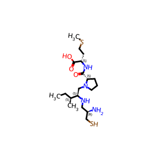 CC[C@H](C)[C@@H](CN1CCC[C@H]1C(=O)N[C@@H](CCSC)C(=O)O)NC[C@@H](N)CS